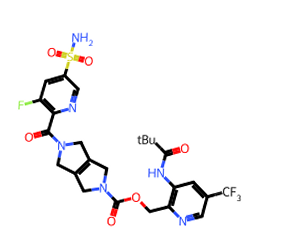 CC(C)(C)C(=O)Nc1cc(C(F)(F)F)cnc1COC(=O)N1CC2=C(C1)CN(C(=O)c1ncc(S(N)(=O)=O)cc1F)C2